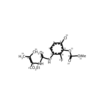 CCOC(=O)C(NC(=O)Nc1ccc(Cl)c(OC(=O)OC)c1F)=C(C)C